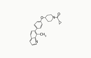 Cc1c(-c2ccc(OC3CCN(C(=O)C4CC4)CC3)cc2)ccc2cccnc12